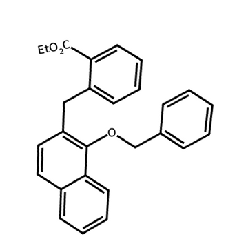 CCOC(=O)c1ccccc1Cc1ccc2ccccc2c1OCc1ccccc1